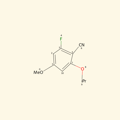 COc1cc(F)c(C#N)c(OC(C)C)c1